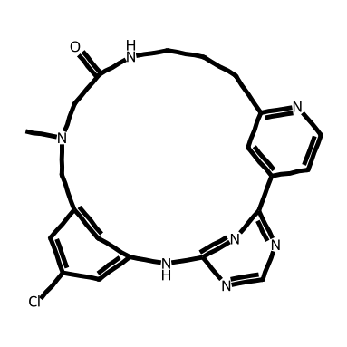 CN1CC(=O)NCCCc2cc(ccn2)-c2ncnc(n2)Nc2cc(Cl)cc(c2)C1